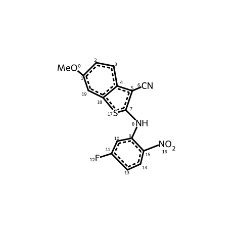 COc1ccc2c(C#N)c(Nc3cc(F)ccc3[N+](=O)[O-])sc2c1